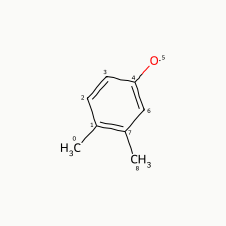 Cc1ccc([O])cc1C